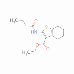 CCCC(=O)Nc1sc2c(c1C(=O)OCC)CCCC2